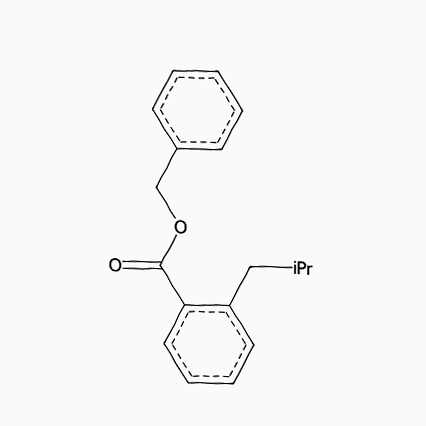 CC(C)Cc1ccccc1C(=O)OCc1ccccc1